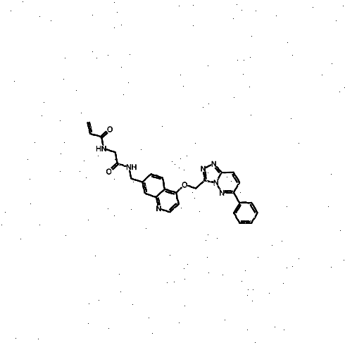 C=CC(=O)NCC(=O)NCc1ccc2c(OCc3nnc4ccc(-c5ccccc5)nn34)ccnc2c1